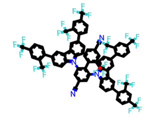 N#Cc1cc(-n2c3ccc(-c4ccc(C(F)(F)F)cc4C(F)(F)F)cc3c3cc(-c4ccc(C(F)(F)F)cc4C(F)(F)F)ccc32)c(-c2ccc(C#N)cc2C(F)(F)F)c(-n2c3ccc(-c4ccc(C(F)(F)F)cc4C(F)(F)F)cc3c3cc(-c4ccc(C(F)(F)F)cc4C(F)(F)F)ccc32)c1